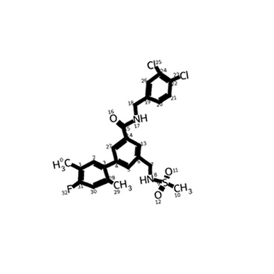 Cc1cc(-c2cc(CNS(C)(=O)=O)cc(C(=O)NCc3ccc(Cl)c(Cl)c3)c2)c(C)cc1F